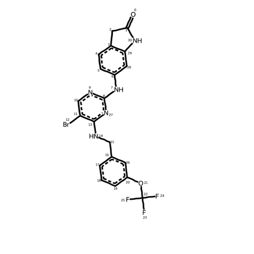 O=C1Cc2ccc(Nc3ncc(Br)c(NCc4cccc(OC(F)(F)F)c4)n3)cc2N1